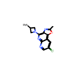 CNC1CN(c2nc3ncc(Cl)cc3c3oc(C)nc23)C1